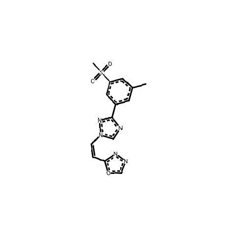 Cc1cc(-c2ncn(/C=C\c3nnco3)n2)cc(S(C)(=O)=O)c1